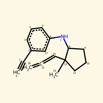 C#Cc1cccc(NC2CCCC2(C)C=C=C)c1